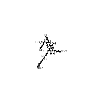 CCCCCCCCCCCCCCCCOC(=O)NCCSCC(NC(=O)NCCCCCCCCCCCCCC)C(=O)NC(CO)C(=O)NC(CCCCN)C(=O)NC(CCCCN)C(=O)O